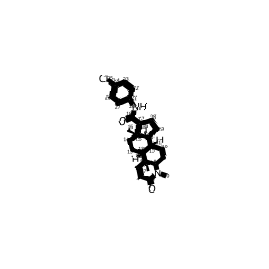 CN1C(=O)C=C[C@@]2(C)C1CC[C@@H]1[C@H]2CC[C@]2(C)C(C(=O)Nc3ccc(Cl)cc3)CC[C@@H]12